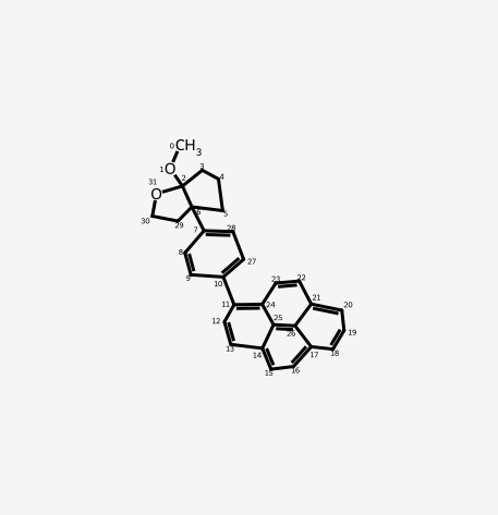 COC12CCCC1(c1ccc(-c3ccc4ccc5cccc6ccc3c4c56)cc1)CCO2